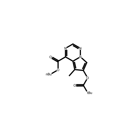 CCCCOC(=O)c1ncnn2cc(OC(=O)C(C)(C)C)c(C)c12